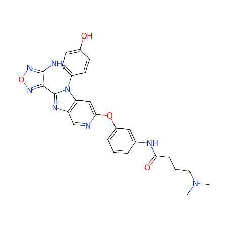 CN(C)CCCC(=O)Nc1cccc(Oc2cc3c(cn2)nc(-c2nonc2N)n3-c2ccc(O)cc2)c1